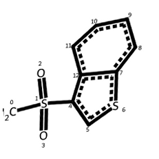 [CH2]S(=O)(=O)c1csc2ccccc12